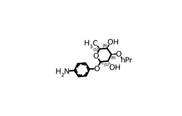 CCCO[C@H]1[C@H](O)[C@@H](Oc2ccc(N)cc2)O[C@@H](C)[C@H]1O